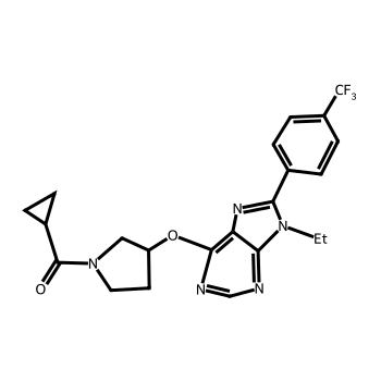 CCn1c(-c2ccc(C(F)(F)F)cc2)nc2c(OC3CCN(C(=O)C4CC4)C3)ncnc21